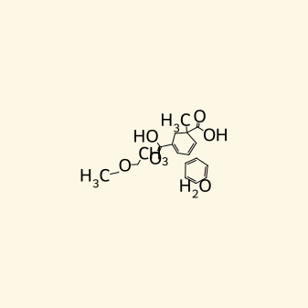 CC1(C(=O)O)C=CC=C(C(=O)O)C1.CCOCC.O.c1ccccc1